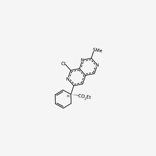 CCOC(=O)[C@@]1(c2cc3cnc(SC)nc3c(Cl)n2)C=CC=CC1